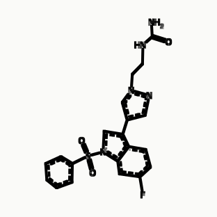 NC(=O)NCCn1cc(-c2cn(S(=O)(=O)c3ccccc3)c3cc(F)ccc23)cn1